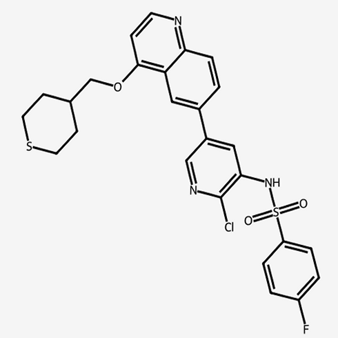 O=S(=O)(Nc1cc(-c2ccc3nccc(OCC4CCSCC4)c3c2)cnc1Cl)c1ccc(F)cc1